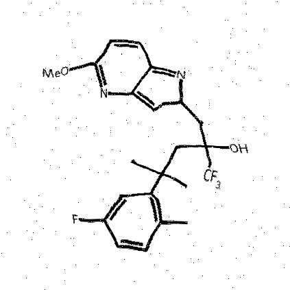 COc1ccc2c(n1)=CC(CC(O)(CC(C)(C)c1cc(F)ccc1C)C(F)(F)F)N=2